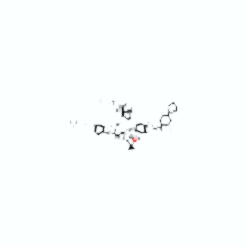 COc1ccc(C[C@H](NC(=O)O[C@H]2CO[C@H]3OC[C@H](NCC(C)C)[C@H]32)[C@H](O)CN(CC2(C)CC2)S(=O)(=O)c2ccc3nc(NC4CCC(N5CCCC5)CC4)sc3c2)cc1